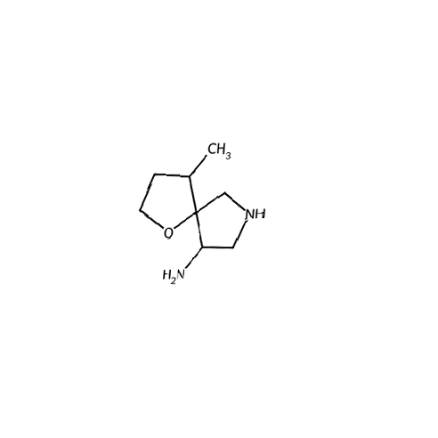 CC1CCOC12CNCC2N